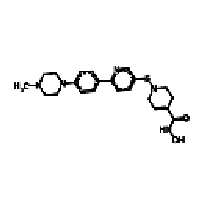 CN1CCN(c2ccc(-c3ccc(SN4CC=C(C(=O)NO)CC4)cn3)cc2)CC1